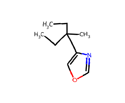 CCC(C)(CC)c1cocn1